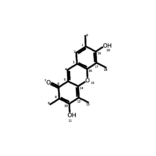 Cc1cc2cc3c(=O)c(C)c(O)c(C)c-3oc2c(C)c1O